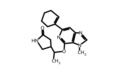 CC(Oc1nc(C2=CCCCC2)cc2ncn(C)c12)C1CNC(=O)C1